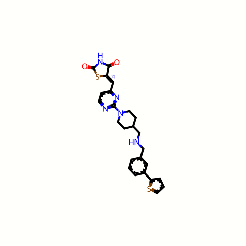 O=C1NC(=O)/C(=C/c2ccnc(N3CCC(CNCc4cccc(-c5cccs5)c4)CC3)n2)S1